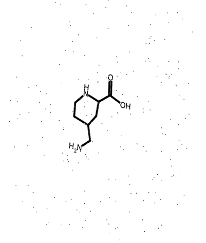 N[CH]C1CCNC(C(=O)O)C1